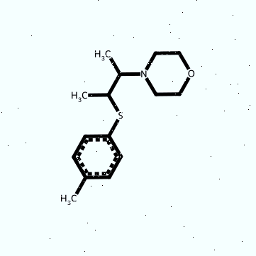 Cc1ccc(SC(C)C(C)N2CCOCC2)cc1